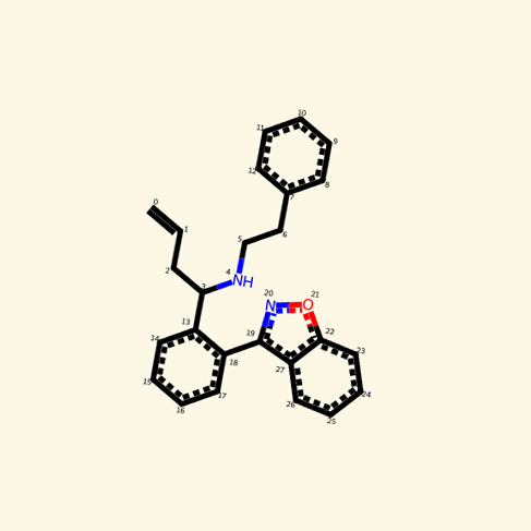 C=CCC(NCCc1ccccc1)c1ccccc1-c1noc2ccccc12